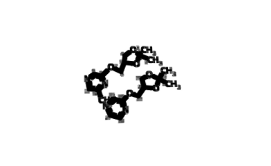 CC1(C)OCC(COc2cncc(C=O)n2)O1.CC1(C)OCC(COc2cnccn2)O1